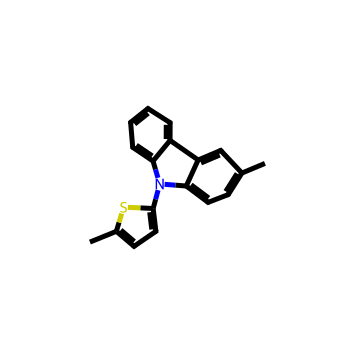 Cc1ccc2c(c1)c1ccccc1n2-c1ccc(C)s1